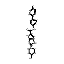 Cc1ccc(-c2ccc(NC(=O)c3cc4sc(N5CCC(C)CC5)nc4s3)cc2)cn1